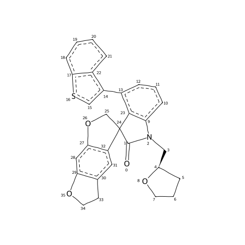 O=C1N(C[C@H]2CCCO2)c2cccc(-c3csc4ccccc34)c2C12COc1cc3c(cc12)CCO3